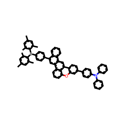 Cc1cc(C)c(B(c2ccc(-c3cc4c5cccc6c5c(cc4c4ccccc34)-c3ccc(-c4ccc(N(c5ccccc5)c5ccccc5)cc4)cc3O6)cc2)c2c(C)cc(C)cc2C)c(C)c1